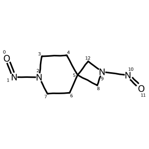 O=NN1CCC2(CC1)CN(N=O)C2